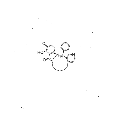 O=C1c2c(O)c(=O)ccn2N2CN1CCCCCc1ccncc1[C@@H]2c1ccccc1